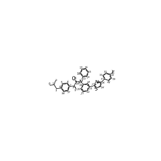 CC(C)Cc1ccc(C(C)C(=O)N(c2ccccc2)c2cccc(-c3nc(-c4ccc(F)cc4)cs3)c2)cc1